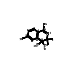 CC1(C)N=C(F)c2ccc(I)cc2C1(F)F